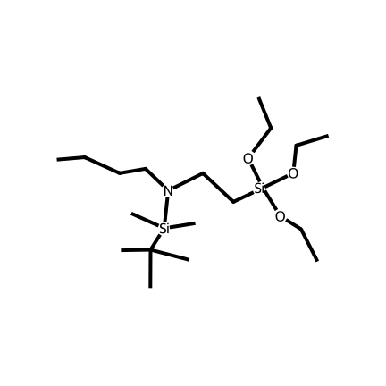 CCCCN(CC[Si](OCC)(OCC)OCC)[Si](C)(C)C(C)(C)C